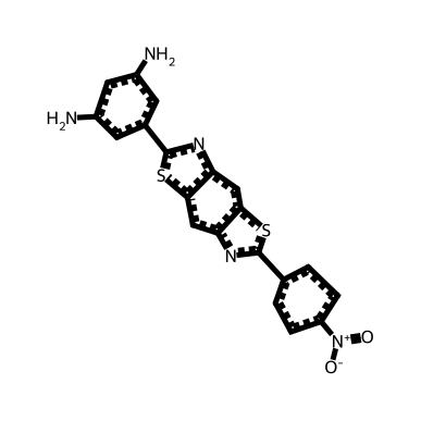 Nc1cc(N)cc(-c2nc3cc4sc(-c5ccc([N+](=O)[O-])cc5)nc4cc3s2)c1